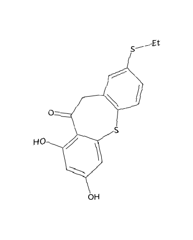 CCSc1ccc2c(c1)CC(=O)c1c(O)cc(O)cc1S2